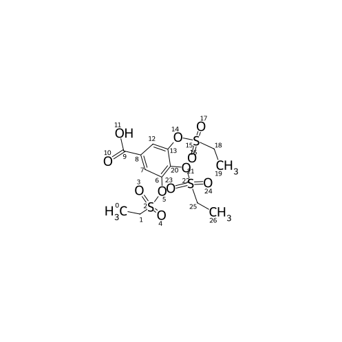 CCS(=O)(=O)Oc1cc(C(=O)O)cc(OS(=O)(=O)CC)c1OS(=O)(=O)CC